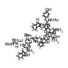 CNC(=N)NCCC[C@H](NC(=O)[C@H](CC(C)C)n1cc(CNC(=O)[C@H](Cc2ccccc2)NC(=O)[C@@H](NC(=O)[C@H](CC(N)=O)NC(=O)[C@@H](Cc2c[nH]c3ccccc23)NC(=O)[C@@H](Cc2ccc(O)cc2)NC(C)=O)[C@@H](C)O)nn1)C(=O)N[C@@H](Cc1c[nH]c2ccccc12)C(N)=O